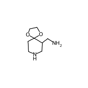 NCC1CNCCC12OCCO2